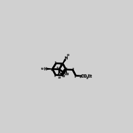 CCOC(=O)CCC1=CC[C@@H]2C[C@H]1C2(C)C